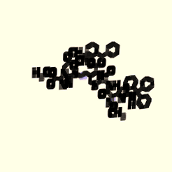 CO/N=C(/C(=O)NC1C(=O)N2C(C(=O)OC(c3ccccc3)c3ccccc3)=C(/C=C/Sc3nnc(C(=O)OC)n3CC(OC)OC)CSC12)c1csc(NC(c2ccccc2)(c2ccccc2)c2ccccc2)n1